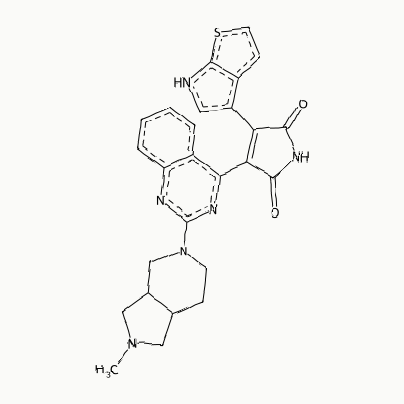 CN1CC2CCN(c3nc(C4=C(c5c[nH]c6sccc56)C(=O)NC4=O)c4ccccc4n3)CC2C1